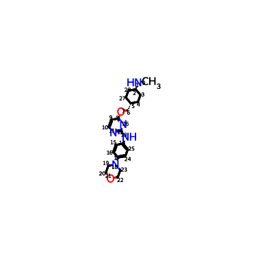 CN[C@H]1CC[C@H](COc2ccnc(Nc3ccc(N4CCOCC4)cc3)n2)CC1